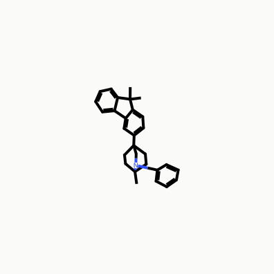 CC1(C)c2ccccc2-c2cc(C34CCC(C)(CC3)N(c3ccccc3)C4)ccc21